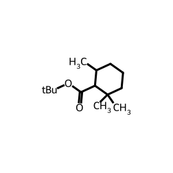 CC1CCCC(C)(C)C1C(=O)OC(C)(C)C